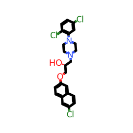 O[C@@H](COc1ccc2cc(Cl)ccc2c1)CN1CCN(c2cc(Cl)ccc2Cl)CC1